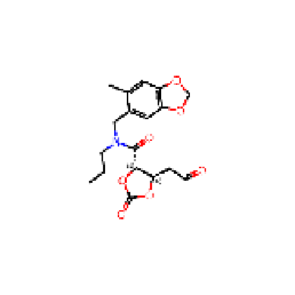 CCCN(Cc1cc2c(cc1C)OCO2)C(=O)[C@H]1OC(=O)O[C@@H]1CC=O